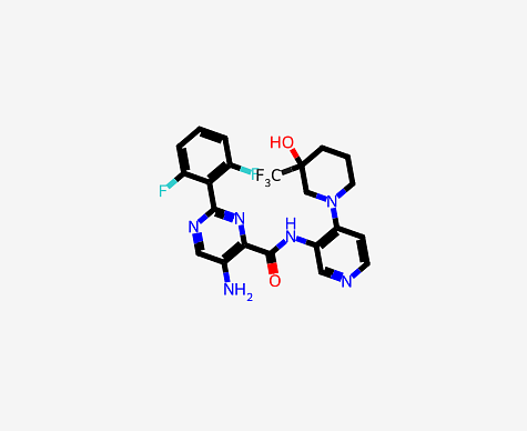 Nc1cnc(-c2c(F)cccc2F)nc1C(=O)Nc1cnccc1N1CCCC(O)(C(F)(F)F)C1